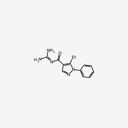 CCc1c(C(=O)N=C(N)N)cnn1-c1ccccc1